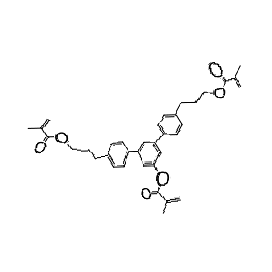 C=C(C)C(=O)OCCCc1ccc(-c2cc(OC(=O)C(=C)C)cc(-c3ccc(CCCOC(=O)C(=C)C)cc3)c2)cc1